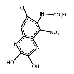 CCOC(=O)Nc1c(Cl)cc2nc(O)c(O)nc2c1[N+](=O)[O-]